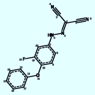 N#CC(C#N)=NNc1ccc(Oc2ccccc2)c(F)c1